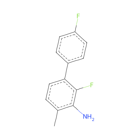 Cc1ccc(-c2ccc(F)cc2)c(F)c1N